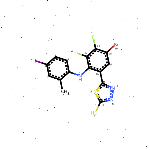 Cc1cc(I)ccc1Nc1c(-c2nnc(S)s2)cc(Br)c(F)c1F